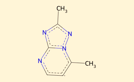 Cc1nc2nc[c]c(C)n2n1